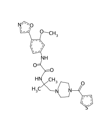 COc1cc(NC(=O)C(=O)NC(C)(C)CN2CCN(C(=O)c3ccsc3)CC2)ccc1-c1cnco1